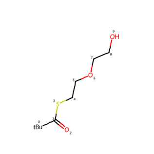 CC(C)(C)C(=O)SCCOCCO